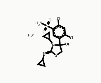 Br.NS(=O)(=O)c1cc(C2(O)CSC(=NC3CC3)N2C2CC2)c(Cl)cc1Cl